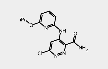 CC(C)Oc1cccc(Nc2cc(Cl)nnc2C(N)=O)n1